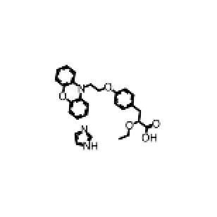 CCOC(Cc1ccc(OCCN2c3ccccc3Oc3ccccc32)cc1)C(=O)O.c1c[nH]cn1